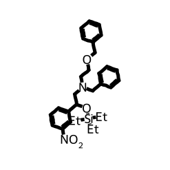 CC[Si](CC)(CC)OC(CN(CCOCc1ccccc1)Cc1ccccc1)c1cccc([N+](=O)[O-])c1